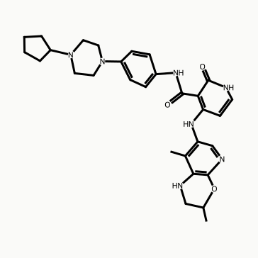 Cc1c(Nc2cc[nH]c(=O)c2C(=O)Nc2ccc(N3CCN(C4CCCC4)CC3)cc2)cnc2c1NCC(C)O2